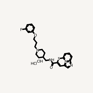 Cl.Cl.O=C(NCC1CCN(CCCOc2cccc(F)c2)CC1)C1=Cc2cnc3cccc(n23)S1